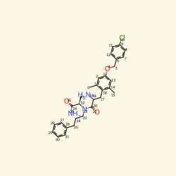 Cc1cc(OCc2ccc(Cl)cc2)cc(C)c1C[C@H](N)C(=O)N(CCCc1ccccc1)[C@H](C)C(N)=O